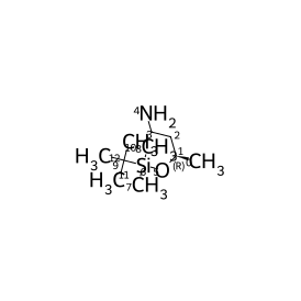 C[C@H](CCN)O[Si](C)(C)C(C)(C)C